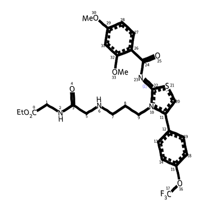 CCOC(=O)CNC(=O)CNCCCn1c(-c2ccc(OC(F)(F)F)cc2)cs/c1=N\C(=O)c1ccc(OC)cc1OC